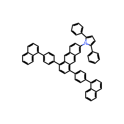 c1ccc(-c2ccc(-c3ccccc3)n2-c2ccc3cc4c(-c5ccc(-c6cccc7ccccc67)cc5)ccc(-c5ccc(-c6cccc7ccccc67)cc5)c4cc3c2)cc1